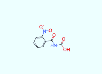 O=C(O)NC(=O)c1ccccc1[N+](=O)[O-]